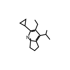 CCc1c(C2CC2)nc2c(c1C(C)C)CCC2